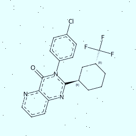 O=c1c2ncccc2nc([C@@H]2CCC[C@@H](C(F)(F)F)C2)n1-c1ccc(Cl)cc1